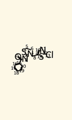 O=C(N=C1SCCN1Cc1cnc(Cl)s1)c1ccccc1